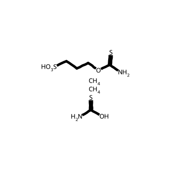 C.C.NC(=S)OCCCS(=O)(=O)O.NC(O)=S